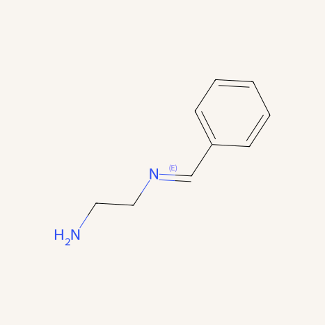 NCC/N=C/c1ccccc1